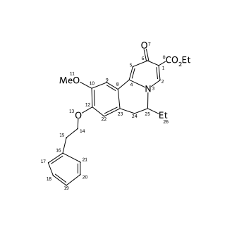 CCOC(=O)c1cn2c(cc1=O)-c1cc(OC)c(OCCc3ccccc3)cc1CC2CC